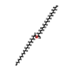 CCCCCCCCCCCCCCCCCCCCC(C)OC(C)CCCCCCCCCCCCCCCCCCCC